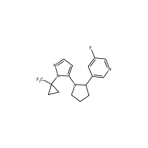 Fc1cncc(C2CCCN2c2ccnn2C2(C(F)(F)F)CC2)c1